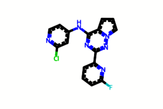 Fc1cccc(-c2nc(Nc3ccnc(Cl)c3)c3cccn3n2)n1